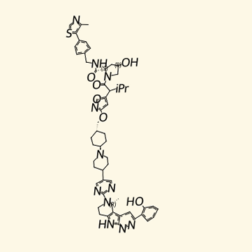 Cc1ncsc1-c1ccc(CNC(=O)[C@@H]2C[C@@H](O)CN2C(=O)C(c2cc(OC[C@H]3CC[C@H](N4CCC(c5cnc(N6CCc7[nH]c8nnc(-c9ccccc9O)cc8c7[C@H]6C)nc5)CC4)CC3)no2)C(C)C)cc1